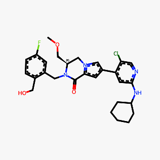 COC[C@H]1Cn2cc(-c3cc(NC4CCCCC4)ncc3Cl)cc2C(=O)N1Cc1cc(F)ccc1CO